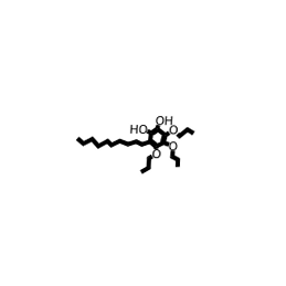 CCCCCCCCCCc1c(O)c(O)c(OCCC)c(OCCC)c1OCCC